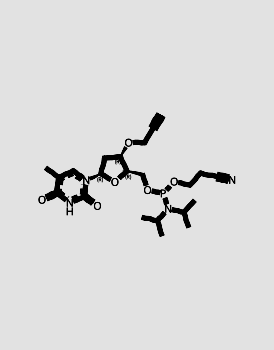 C#CCO[C@@H]1C[C@H](n2cc(C)c(=O)[nH]c2=O)O[C@@H]1COP(OCCC#N)N(C(C)C)C(C)C